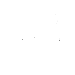 CC(=O)N1CCN(C)C(C(=O)Nc2cc(C(C)(C)C)on2)C1